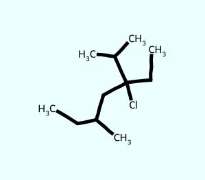 CCC(C)CC(Cl)(CC)C(C)C